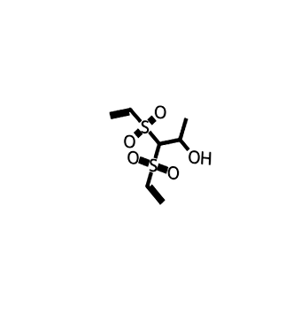 C=CS(=O)(=O)C(C(C)O)S(=O)(=O)C=C